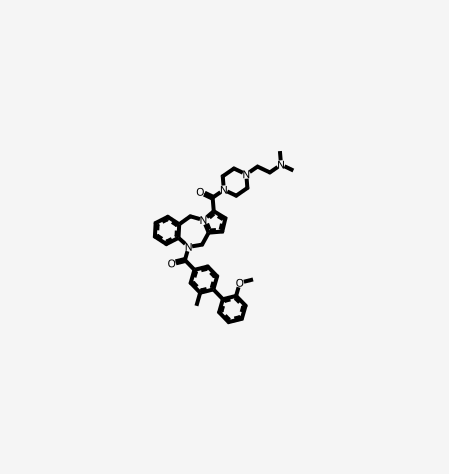 COc1ccccc1-c1ccc(C(=O)N2Cc3ccc(C(=O)N4CCN(CCN(C)C)CC4)n3Cc3ccccc32)cc1C